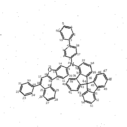 c1ccc(-c2ccc(N(c3ccc4c(c3)oc3cc(-c5ccccc5)c5ccccc5c34)c3cccc4c3-c3ccccc3C43c4ccccc4-c4ccccc43)cc2)cc1